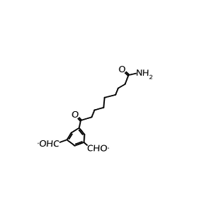 NC(=O)CCCCCCCC(=O)c1cc([C]=O)cc([C]=O)c1